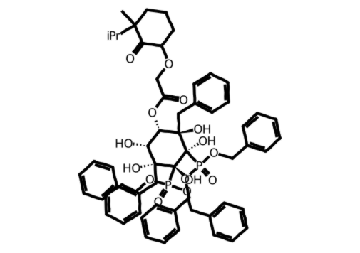 CC(C)C1(C)CCCC(OCC(=O)O[C@H]2[C@@H](O)[C@](O)(Cc3ccccc3)[C@@](O)(P(=O)(OCc3ccccc3)OCc3ccccc3)[C@](O)(P(=O)(OCc3ccccc3)OCc3ccccc3)[C@@]2(O)Cc2ccccc2)C1=O